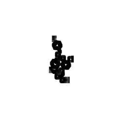 O=C(O)COc1ccc(Cl)cc1[C@@H]1c2scnc2CCN1C(=O)OCc1ccc(F)cc1